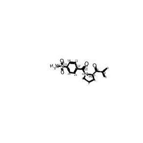 CC(C)C(=O)[C@H]1CCCN1C(=O)c1ccc(S(N)(=O)=O)cc1